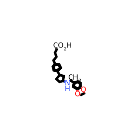 CC(NC1CCC(c2ccc(CCCCC(=O)O)cc2)C1)c1ccc2c(c1)OCCO2